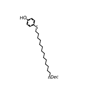 CCCCCCCCCCCCCCCCCCCCCCCCSc1ccc(O)cc1